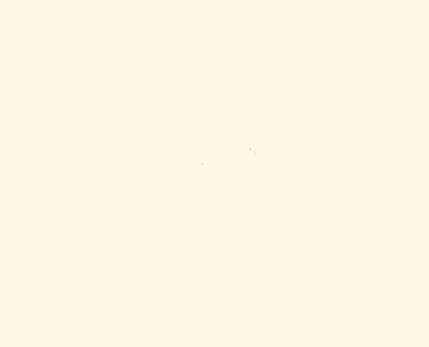 CC[N+]1=C2C=CCC(C)(C)C2(C)c2ccccc21.[I-]